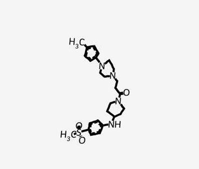 Cc1ccc(N2CCN(CCC(=O)N3CCC(Nc4ccc(S(C)(=O)=O)cc4)CC3)CC2)cc1